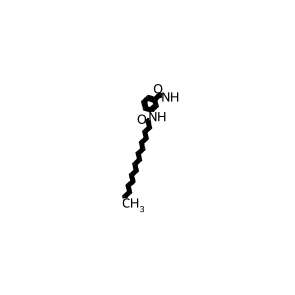 CCCCCCCCCCCCCCCC(=O)Nc1cccc(C([NH])=O)c1